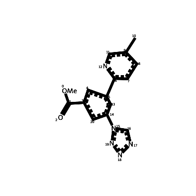 COC(=O)c1cc(-c2ccc(C)cn2)cc(-n2cnnn2)c1